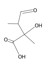 CC(C=O)C(C)(O)C(=O)O